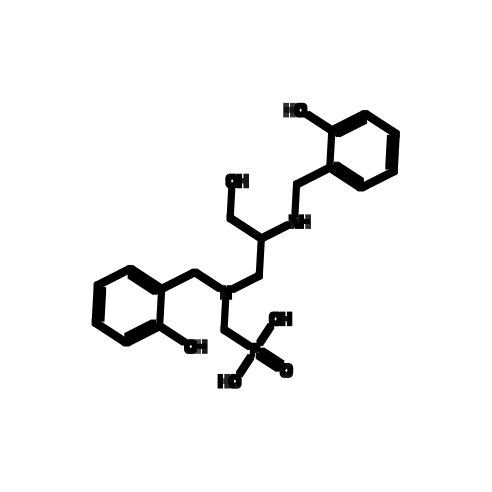 O=P(O)(O)CN(Cc1ccccc1O)CC(CO)NCc1ccccc1O